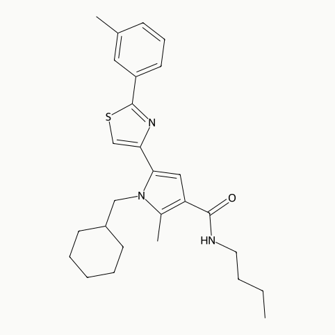 CCCCNC(=O)c1cc(-c2csc(-c3cccc(C)c3)n2)n(CC2CCCCC2)c1C